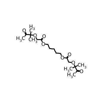 CC(=O)C(C)(C)OCC(=O)OCCCCCOC(=O)COC(C)(C)C(C)=O